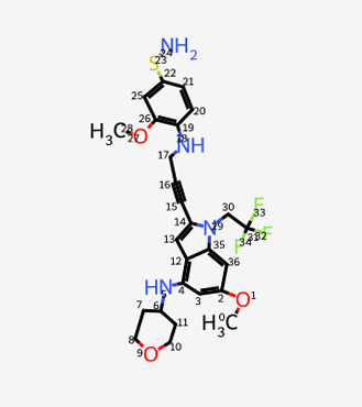 COc1cc(NC2CCOCC2)c2cc(C#CCNc3ccc(SN)cc3OC)n(CC(F)(F)F)c2c1